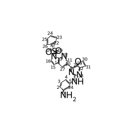 Nc1cccc(Nc2nc(-c3cnc4c(ccn4S(=O)(=O)c4ccccc4)c3)c3occc3n2)c1